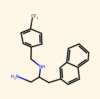 NCC(Cc1ccc2ccccc2c1)NCc1ccc(C(F)(F)F)cc1